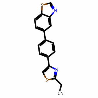 N#CCc1nc(-c2ccc(-c3ccc4scnc4c3)cc2)cs1